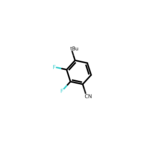 CC(C)(C)c1ccc(C#N)c(F)c1F